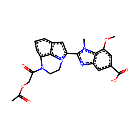 COc1cc(C(=O)O)cc2nc(-c3cc4cccc5c4n3CCN5C(=O)COC(C)=O)n(C)c12